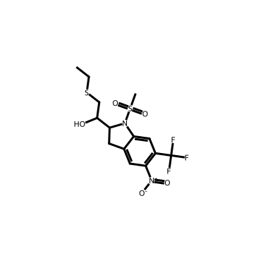 CCSCC(O)C1Cc2cc([N+](=O)[O-])c(C(F)(F)F)cc2N1S(C)(=O)=O